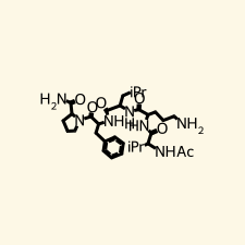 CC(=O)NC(C(=O)NC(CCCN)C(=O)NC(CC(C)C)C(=O)NC(Cc1ccccc1)C(=O)N1CCCC1C(N)=O)C(C)C